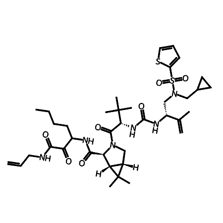 C=CCNC(=O)C(=O)C(CCCC)NC(=O)[C@@H]1[C@@H]2[C@H](CN1C(=O)[C@@H](NC(=O)N[C@H](CN(CC1CC1)S(=O)(=O)c1cccs1)C(=C)C)C(C)(C)C)C2(C)C